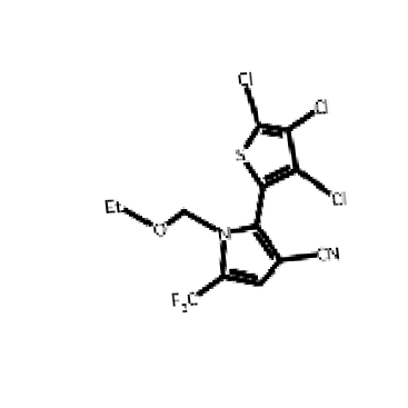 CCOCn1c(C(F)(F)F)cc(C#N)c1-c1sc(Cl)c(Cl)c1Cl